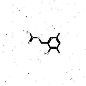 CC(C)(C)C(=O)OCc1cc(I)cc(I)c1O